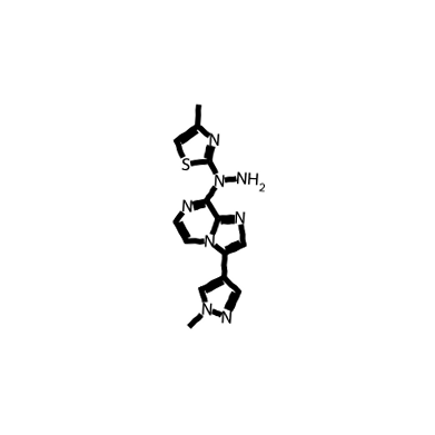 Cc1csc(N(N)c2nccn3c(-c4cnn(C)c4)cnc23)n1